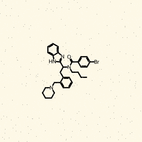 CCCCN(C(=O)c1ccc(Br)cc1)C(Cc1ccccc1CN1CCCCC1)c1nc2ccccc2[nH]1